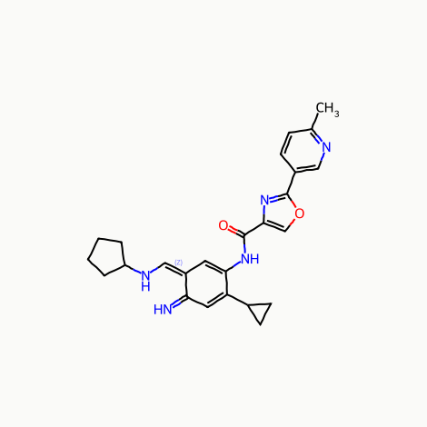 Cc1ccc(-c2nc(C(=O)NC3=C/C(=C/NC4CCCC4)C(=N)C=C3C3CC3)co2)cn1